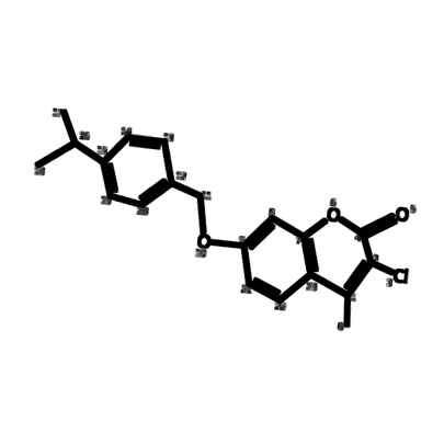 Cc1c(Cl)c(=O)oc2cc(OCc3ccc(C(C)C)cc3)ccc12